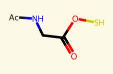 CC(=O)NCC(=O)OS